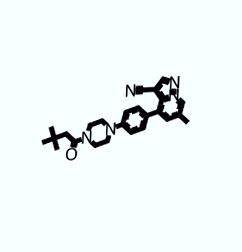 Cc1cc(-c2ccc(N3CCN(C(=O)CC(C)(C)C)CC3)cc2)c2c(C#N)cnn2c1